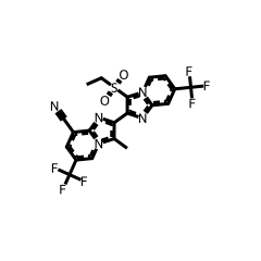 CCS(=O)(=O)c1c(-c2nc3c(C#N)cc(C(F)(F)F)cn3c2C)nc2cc(C(F)(F)F)ccn12